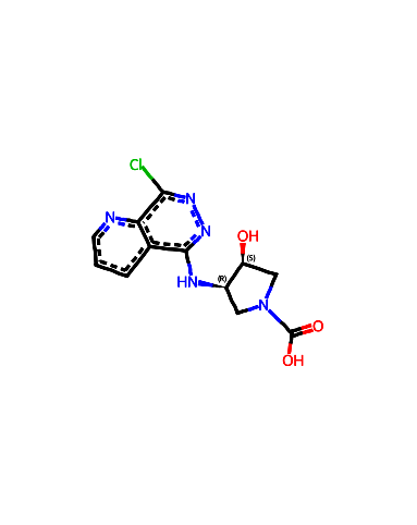 O=C(O)N1C[C@H](O)[C@H](Nc2nnc(Cl)c3ncccc23)C1